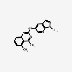 Cc1cccc2nc(Nc3cnc4c(ccn4C)c3)nc(C)c12